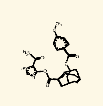 COc1ccc(C(=O)OC23CC4CC(C2)CC(C(=O)Oc2nc[nH]c2C(N)=O)(C4)C3)cc1